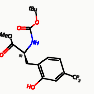 COC(=O)[C@H](Cc1ccc(C(F)(F)F)cc1O)NC(=O)OC(C)(C)C